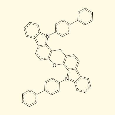 c1ccc(-c2ccc(-n3c4ccccc4c4ccc5c(c43)Cc3ccc4c6ccccc6n(-c6ccc(-c7ccccc7)cc6)c4c3O5)cc2)cc1